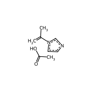 C=C(C)n1ccnc1.CC(=O)O